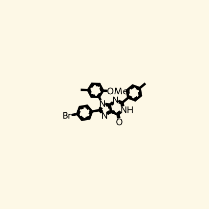 COc1ccc(C)cc1-n1c(-c2ccc(Br)cc2)nc2c(=O)[nH]c(-c3ccc(C)cc3)nc21